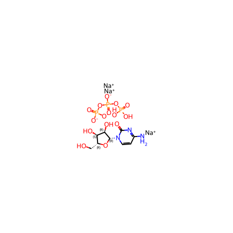 Nc1ccn([C@@H]2O[C@H](CO)[C@@H](O)[C@H]2O)c(=O)n1.O=P([O-])([O-])OP(=O)([O-])OP(=O)(O)O.[Na+].[Na+].[Na+]